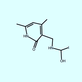 Cc1cc(C)c(CNC(O)I)c(=O)[nH]1